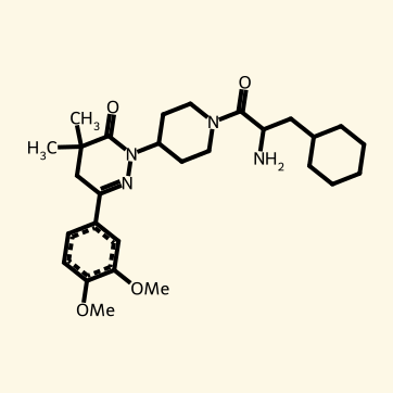 COc1ccc(C2=NN(C3CCN(C(=O)C(N)CC4CCCCC4)CC3)C(=O)C(C)(C)C2)cc1OC